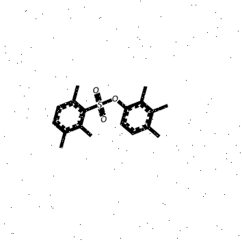 Cc1ccc(OS(=O)(=O)c2c(C)ccc(C)c2C)c(C)c1C